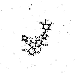 O=C([C@@H]1O[C@H](CO)[C@H](O)[C@H](n2cc(-c3cc(F)c(F)c(F)c3)nn2)[C@H]1O)N(Cc1cnsc1)[C@H]1CCCC[C@@H]1O